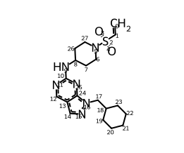 C=CS(=O)(=O)N1CCC(Nc2ncc3cnn(CC4CCCCC4)c3n2)CC1